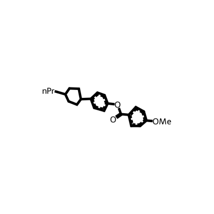 CCCC1CCC(c2ccc(OC(=O)c3ccc(OC)cc3)cc2)CC1